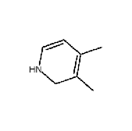 CC1=C(C)CNC=C1